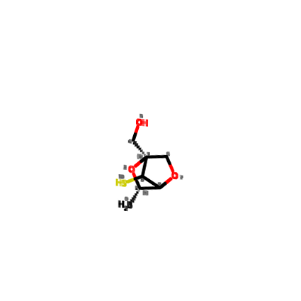 B[C@@H]1O[C@@]2(CO)COC1C2S